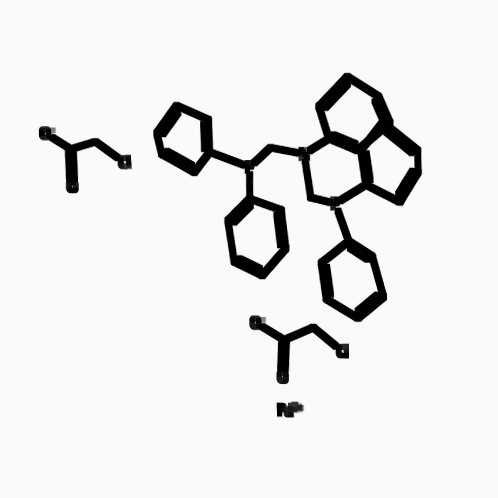 O=C([O-])CCl.O=C([O-])CCl.[Pd+2].c1ccc(N(CP(c2ccccc2)c2ccccc2)CP(c2ccccc2)c2ccccc2)cc1